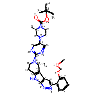 COCOc1ccccc1-c1cc2c3c([nH]c2nn1)CCN(c1ncc(N2CCN(C(=O)OC(C)(C)C)[C@H](C)C2)cn1)[C@@H]3C